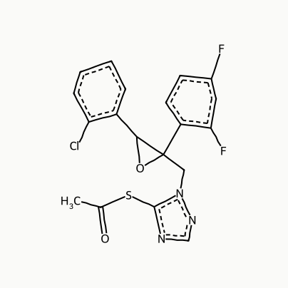 CC(=O)Sc1ncnn1CC1(c2ccc(F)cc2F)OC1c1ccccc1Cl